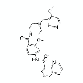 COc1ccncc1CN1CCN(C(=O)c2ccc(N[S+]([O-])c3cccc4cccnc34)cc2OC)CC1